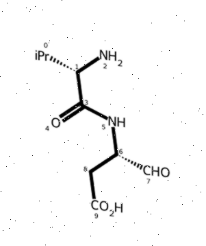 CC(C)[C@H](N)C(=O)N[C@H](C=O)CC(=O)O